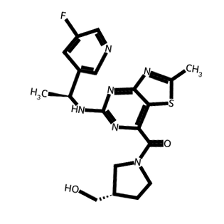 Cc1nc2nc(N[C@@H](C)c3cncc(F)c3)nc(C(=O)N3CC[C@H](CO)C3)c2s1